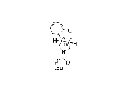 CC(C)(C)OC(=O)N1C[C@H]2COc3ccccc3[C@H]2C1